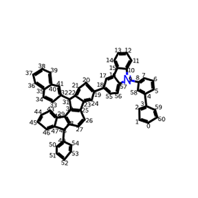 c1ccc(-c2cccc(-n3c4ccccc4c4cc(-c5ccc6c(c5)-c5ccc7c(c5C6c5ccc6ccccc6c5)-c5ccccc5C7c5ccccc5)ccc43)c2)cc1